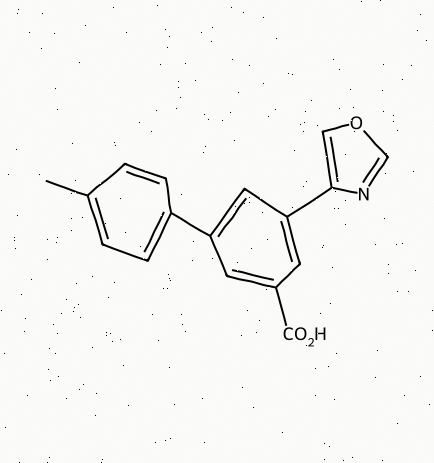 Cc1ccc(-c2cc(C(=O)O)cc(-c3cocn3)c2)cc1